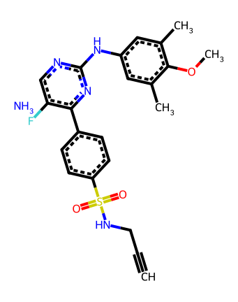 C#CCNS(=O)(=O)c1ccc(-c2nc(Nc3cc(C)c(OC)c(C)c3)ncc2F)cc1.N